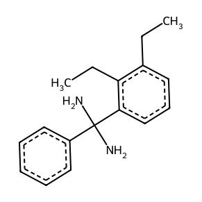 CCc1cccc(C(N)(N)c2ccccc2)c1CC